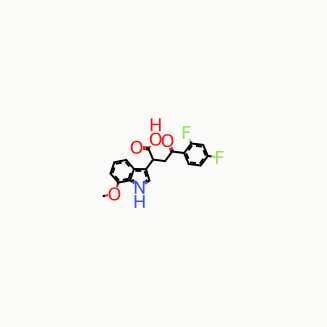 COc1cccc2c(C(CC(=O)c3ccc(F)cc3F)C(=O)O)c[nH]c12